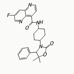 CC1(C)OC(=O)N(C2CCC(NC(=O)c3ccnc4cc(F)cnc34)CC2)C1c1ccccc1